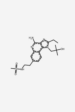 CCc1nc2c(N)nc3cc(CCNS(C)(=O)=O)ccc3c2n1CC(C)(C)O